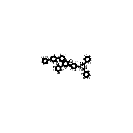 c1ccc(-c2ccc3c4ccccc4n(-c4ccccc4-c4ccc5oc6cc(-c7nc(-c8ccccc8)nc(-c8ccccc8)n7)ccc6c5c4)c3c2)cc1